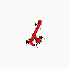 C=CC(=O)NCCCn1c(=O)c(Br)c(Br)c(=O)n1CCC(=O)NCCOCCOCCN(CCOCCOCCNC(=O)CCn1c(=O)c(Br)c(Br)c(=O)n1CCCNC(=O)C=C)C(=O)CCOCCOCCOCCC(=O)NCCOCCOCCNC(=O)OC[C@@H]1[C@@H]2CC/C=C\CC[C@@H]21